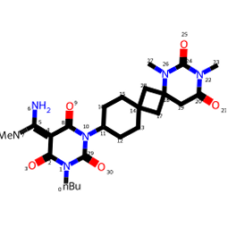 CCCCN1C(=O)/C(=C(/N)NC)C(=O)N(C2CCC3(CC2)CC2(CC(=O)N(C)C(=O)N2C)C3)C1=O